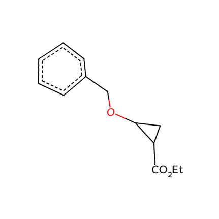 CCOC(=O)C1CC1OCc1ccccc1